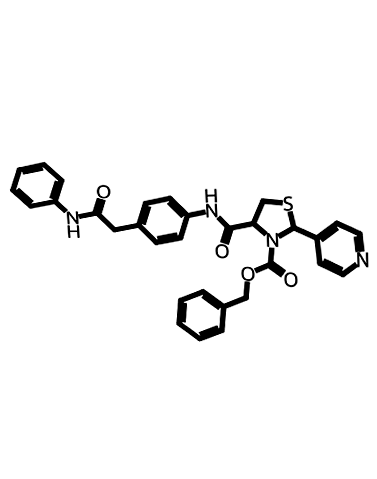 O=C(Cc1ccc(NC(=O)C2CSC(c3ccncc3)N2C(=O)OCc2ccccc2)cc1)Nc1ccccc1